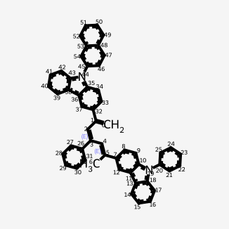 C=C(/C=C(\C=C(/C)c1ccc2c(c1)c1ccccc1n2-c1ccccc1)c1ccccc1)c1ccc2c(c1)c1ccccc1n2-c1ccc2ccccc2c1